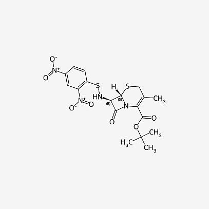 CC1=C(C(=O)OC(C)(C)C)N2C(=O)[C@@H](NSc3ccc([N+](=O)[O-])cc3[N+](=O)[O-])[C@@H]2SC1